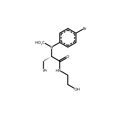 CC(C)C[C@@H](C(=O)NCCO)N(C(=O)O)c1ccc(Br)cc1